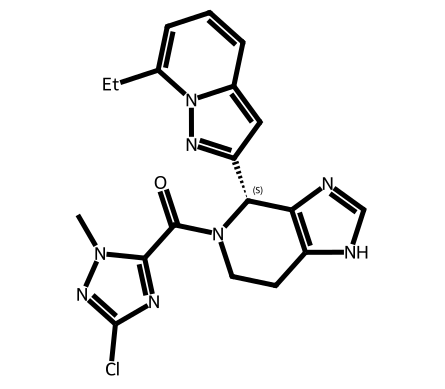 CCc1cccc2cc([C@@H]3c4nc[nH]c4CCN3C(=O)c3nc(Cl)nn3C)nn12